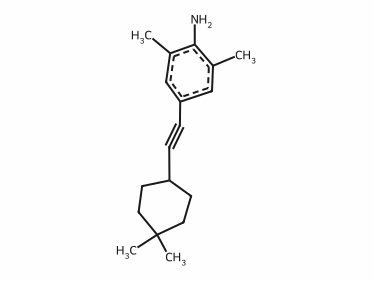 Cc1cc(C#CC2CCC(C)(C)CC2)cc(C)c1N